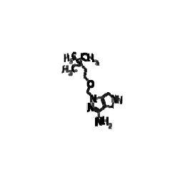 C[Si](C)(C)CCOCn1nc(N)c2c1CNC2